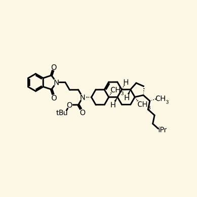 CC(C)CCC[C@@H](C)[C@H]1CC[C@H]2[C@@H]3CC=C4C[C@@H](N(CCCN5C(=O)c6ccccc6C5=O)C(=O)OC(C)(C)C)CC[C@]4(C)[C@H]3CC[C@]12C